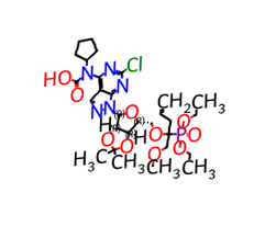 C=CCC(COC)(OC[C@H]1O[C@@H](n2ncc3c(N(C(=O)O)C4CCCC4)nc(Cl)nc32)[C@@H]2OC(C)(C)O[C@@H]21)P(=O)(OCC)OCC